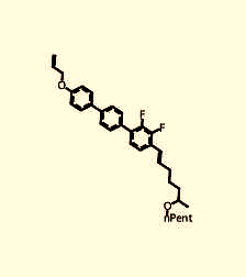 C=CCOc1ccc(-c2ccc(-c3ccc(/C=C/CCCC(C)OCCCCC)c(F)c3F)cc2)cc1